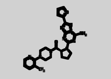 Nc1nc(N2CCC[C@H]2C(=O)N2CCN(c3ncccc3C(F)(F)F)CC2)nc2nc(-c3ccco3)nn12